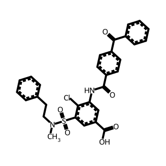 CN(CCc1ccccc1)S(=O)(=O)c1cc(C(=O)O)cc(NC(=O)c2ccc(C(=O)c3ccccc3)cc2)c1Cl